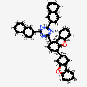 c1ccc2cc(-c3nc(-c4ccc5ccccc5c4)nc(-c4ccc(-c5ccc6c(c5)oc5ccccc56)c5oc6ccccc6c45)n3)ccc2c1